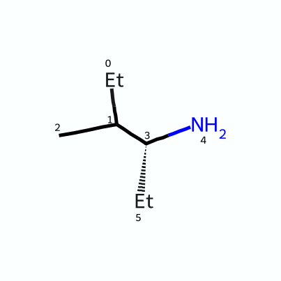 CCC(C)[C@H](N)CC